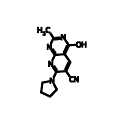 Cc1nc(O)c2cc(C#N)c(N3CCCC3)nc2n1